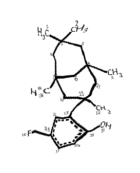 CC1(C)CC2(C)CC(C)(C1)CC(C)(c1cc(F)ccc1O)C2